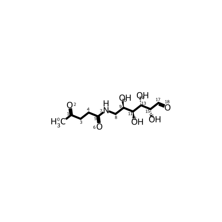 CC(=O)CCC(=O)NC[C@@H](O)[C@H](O)[C@H](O)[C@@H](O)C=O